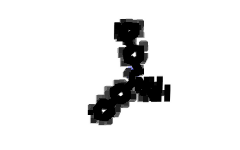 N=CNC(/C=C/c1ccc(-c2cccnc2)cc1)c1ccc(-c2ccccc2)cc1